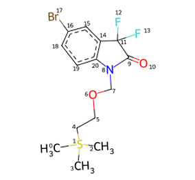 CS(C)(C)CCOCN1C(=O)C(F)(F)c2cc(Br)ccc21